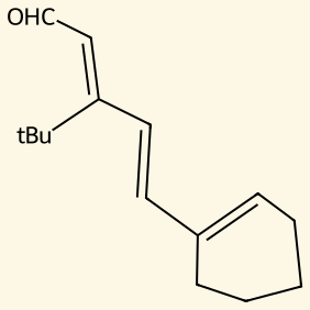 CC(C)(C)C(=C\C=O)/C=C/C1=CCCCC1